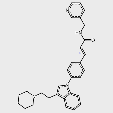 O=C(/C=C/c1ccc(-n2cc(CCN3CCCCC3)c3ccccc32)cc1)NCc1cccnc1